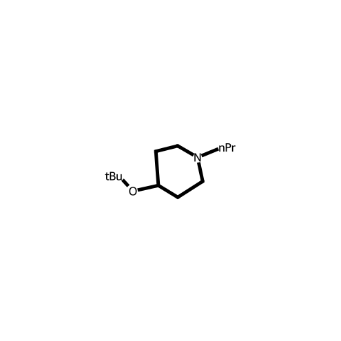 CCCN1CCC(OC(C)(C)C)CC1